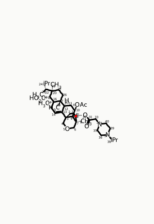 CC(=O)O[C@@H]1C[C@]23COC[C@@](C)([C@@H]2CC[C@H]2C3=CC[C@@]3(C)[C@H](C(=O)O)[C@@](C)([C@H](C)C(C)C)CC[C@]23C)[C@H]1OC(=O)CN1CCN(C(C)C)CC1